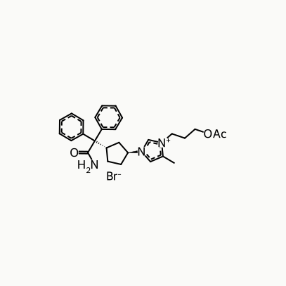 CC(=O)OCCC[n+]1cn([C@H]2CC[C@H](C(C(N)=O)(c3ccccc3)c3ccccc3)C2)cc1C.[Br-]